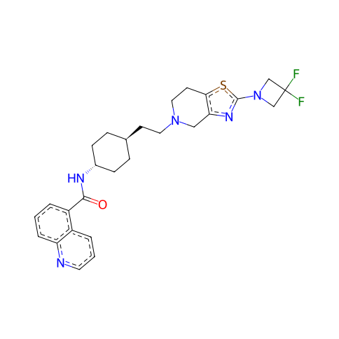 O=C(N[C@H]1CC[C@H](CCN2CCc3sc(N4CC(F)(F)C4)nc3C2)CC1)c1cccc2ncccc12